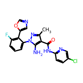 Cc1nn(-c2cccc(F)c2-c2cnco2)c(N)c1C(=O)Nc1ccc(Cl)cn1